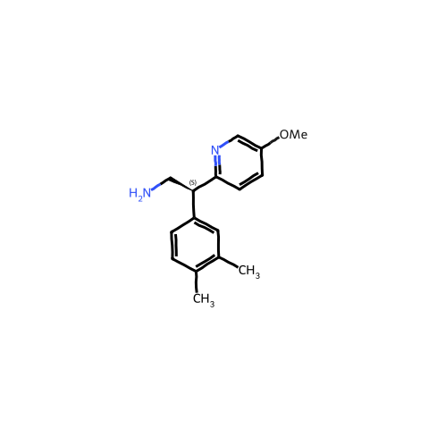 COc1ccc([C@H](CN)c2ccc(C)c(C)c2)nc1